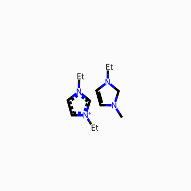 CCN1C=CN(C)C1.CCn1cc[n+](CC)c1